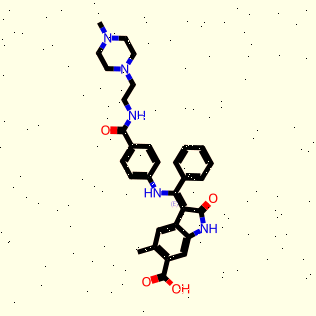 Cc1cc2c(cc1C(=O)O)NC(=O)/C2=C(/Nc1ccc(C(=O)NCCN2CCN(C)CC2)cc1)c1ccccc1